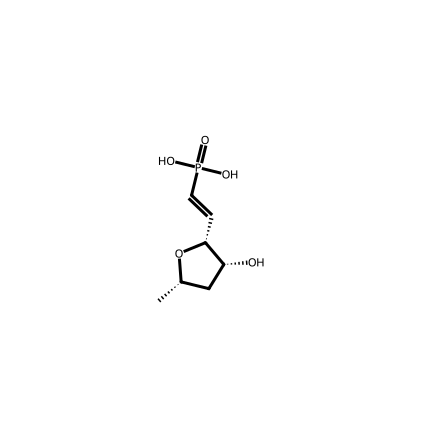 C[C@H]1C[C@@H](O)[C@@H](/C=C/P(=O)(O)O)O1